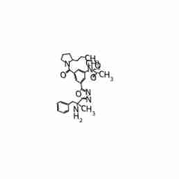 CCCC1CCCN1C(=O)c1cc(-c2nnc([C@](C)(N)Cc3ccccc3)o2)cc(N(C)S(C)(=O)=O)c1